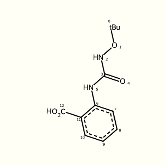 CC(C)(C)ONC(=O)Nc1ccccc1C(=O)O